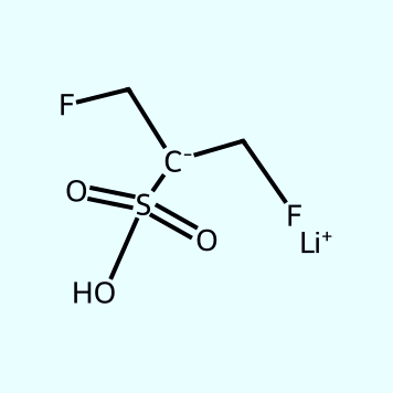 O=S(=O)(O)[C-](CF)CF.[Li+]